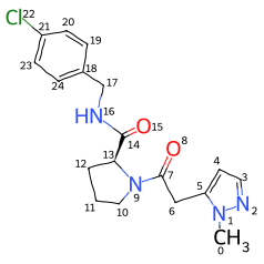 Cn1nccc1CC(=O)N1CCC[C@H]1C(=O)NCc1ccc(Cl)cc1